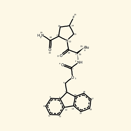 CC[C@H](C)[C@H](NC(=O)OCC1c2ccccc2-c2ccccc21)C(=O)N1CC(F)CC1C(N)=O